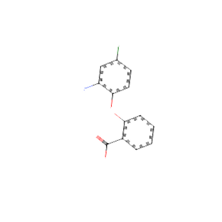 Nc1cc(Cl)ccc1Oc1ccccc1C(=O)O